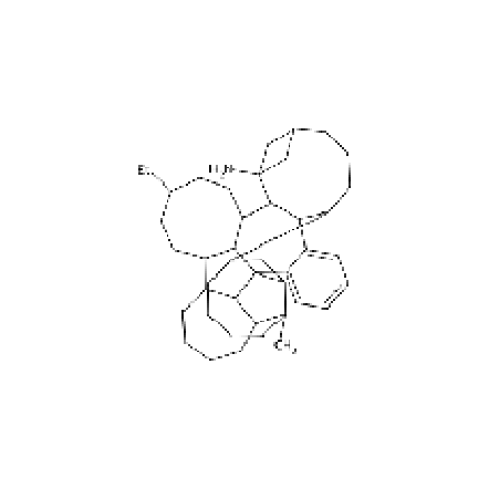 CCC1CCC2C3CCCCC4C3C35c6ccccc6C6C(CCCC7CC(N)(C7)C6C(CC1)C23)C1CCCCC4(C)C5C1